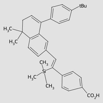 CC(C)(C)c1ccc(C2=CCC(C)(C)c3ccc(C=C(c4ccc(C(=O)O)cc4)[Si](C)(C)C)cc32)cc1